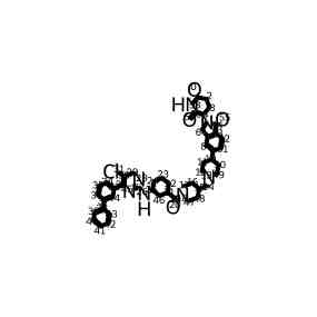 O=C1CCC(N2Cc3cc(C4CCN(CC5CCN(C(=O)C6CCCC(Nc7ncc(Cl)c(-c8cccc(-c9ccccc9)c8)n7)C6)CC5)CC4)ccc3C2=O)C(=O)N1